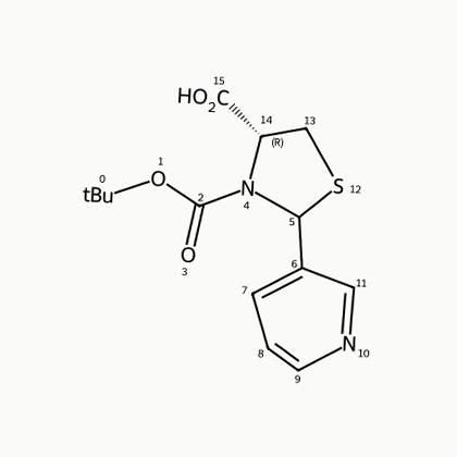 CC(C)(C)OC(=O)N1C(c2cccnc2)SC[C@H]1C(=O)O